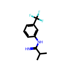 CC(C)C(=N)Nc1cccc(C(F)(F)F)c1